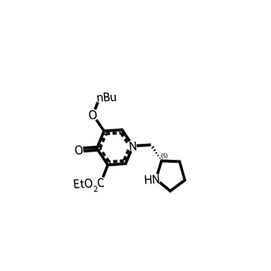 CCCCOc1cn(C[C@@H]2CCCN2)cc(C(=O)OCC)c1=O